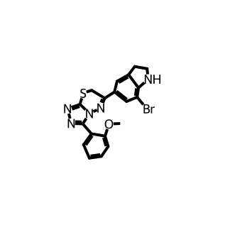 COc1ccccc1-c1nnc2n1N=C(c1cc(Br)c3c(c1)CCN3)CS2